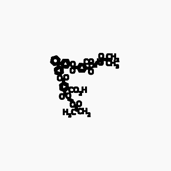 C=C(C)C(=O)OCCOC(=O)c1ccc(C(=O)Oc2ccc(C3(c4ccc(OC(=O)c5ccc(C(=O)OCCOC(=O)C(=C)C)c(C(=O)O)c5)cc4)CCCCC3)cc2)cc1C(=O)O